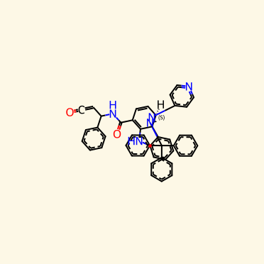 O=C=CC(NC(=O)C1=C2Nc3ccccc3C23[C@H](C=C1)N(c1ccncc1)CN3C(c1ccccc1)(c1ccccc1)c1ccccc1)c1ccccc1